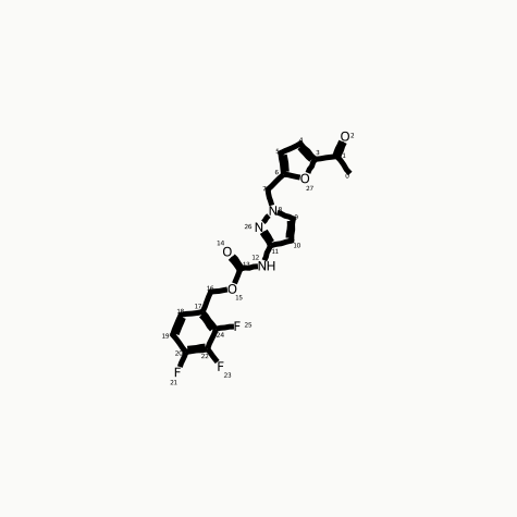 CC(=O)c1ccc(Cn2ccc(NC(=O)OCc3ccc(F)c(F)c3F)n2)o1